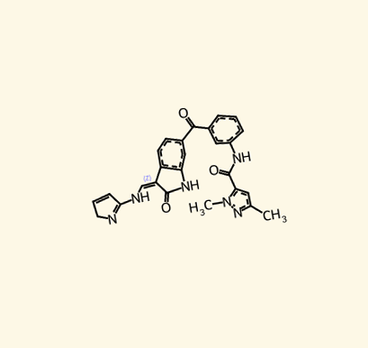 Cc1cc(C(=O)Nc2cccc(C(=O)c3ccc4c(c3)NC(=O)/C4=C\NC3=NCC=C3)c2)n(C)n1